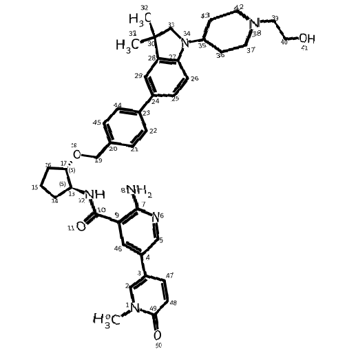 Cn1cc(-c2cnc(N)c(C(=O)N[C@H]3CCC[C@@H]3OCc3ccc(-c4ccc5c(c4)C(C)(C)CN5C4CCN(CCO)CC4)cc3)c2)ccc1=O